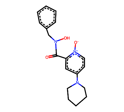 O=C(c1cc(N2CCCCC2)cc[n+]1[O-])N(O)Cc1ccccc1